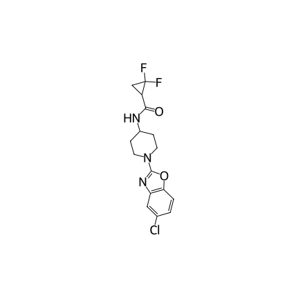 O=C(NC1CCN(c2nc3cc(Cl)ccc3o2)CC1)C1CC1(F)F